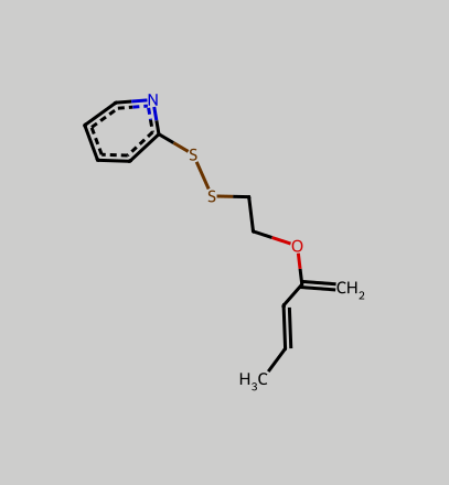 C=C(/C=C/C)OCCSSc1ccccn1